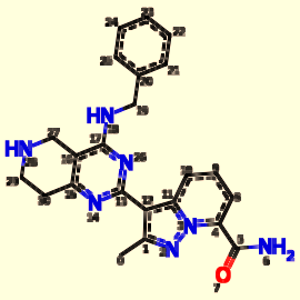 Cc1nn2c(C(N)=O)cccc2c1-c1nc2c(c(NCc3ccccc3)n1)CNCC2